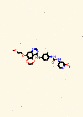 COCCOc1cc2ncnc(Nc3ccc(NC(=O)Nc4ccnc(OC)c4)c(Cl)c3)c2c2c1OCCO2